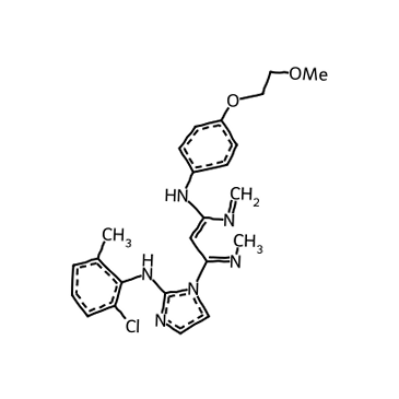 C=N/C(=C\C(=N/C)n1ccnc1Nc1c(C)cccc1Cl)Nc1ccc(OCCOC)cc1